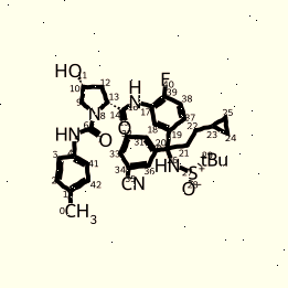 Cc1ccc(NC(=O)N2C[C@H](O)C[C@@H]2C(=O)Nc2cc(C(CCC3CC3)(N[S+]([O-])C(C)(C)C)c3cccc(C#N)c3)ccc2F)cc1